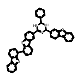 c1ccc(C2NC(c3ccc4sc5c(-c6cccc7c6sc6ccccc67)cccc5c4c3)=NC(c3ccc4c(c3)sc3ccccc34)N2)cc1